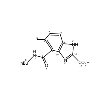 CCCCNC(=O)c1c(C)ccc2[nH]c(C(=O)O)nc12